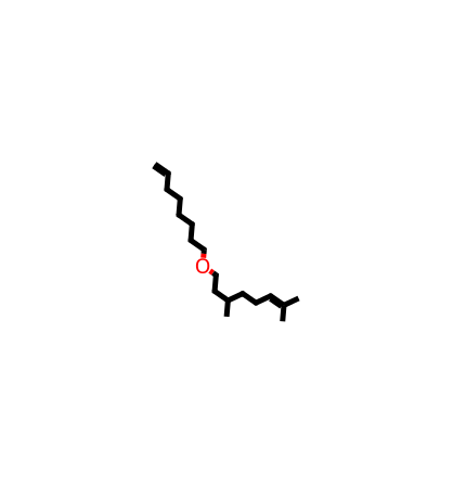 C=CCCCCCCOCCC(C)CCC=C(C)C